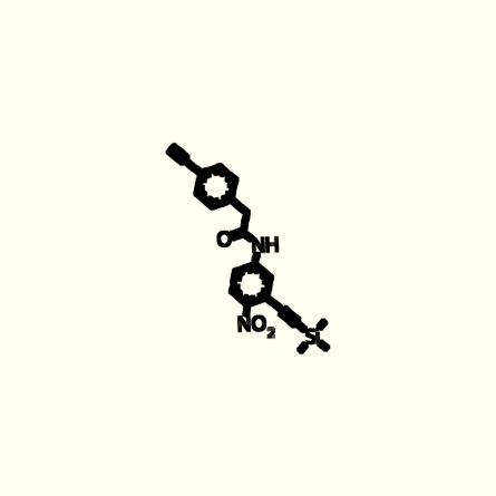 C#Cc1ccc(CC(=O)Nc2ccc([N+](=O)[O-])c(C#C[Si](C)(C)C)c2)cc1